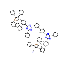 N#Cc1c(-c2ccccc2)sc2c1-c1ccccc1C21c2ccccc2-c2c(-c3nc(-c4ccccc4)nc(-c4ccc(-c5cccc(-c6nc(-c7ccccc7)nc(-c7ccc8c(c7)C7(c9ccccc9-c9ccccc97)c7sc(-c9ccccc9)c(-c9ccccc9)c7-8)n6)c5)cc4)n3)cccc21